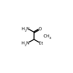 C.CCC(N)C(N)=O